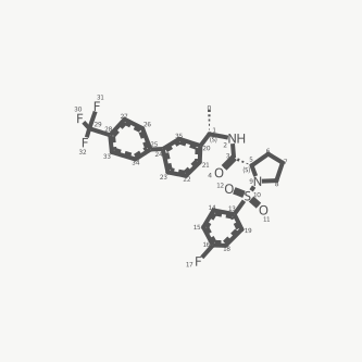 C[C@H](NC(=O)[C@@H]1CCCN1S(=O)(=O)c1ccc(F)cc1)c1cccc(-c2ccc(C(F)(F)F)cc2)c1